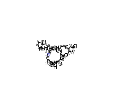 CO[C@]1(CN2CC[C@@H]3CCCC[C@H]3C2)/C=C/C[C@H](C)[C@@H](C)S(=O)(=O)NC(=O)c2ccc3c(c2)N(CCCCc2cc(Cl)ccc2CO3)C[C@@H]2CC[C@H]21